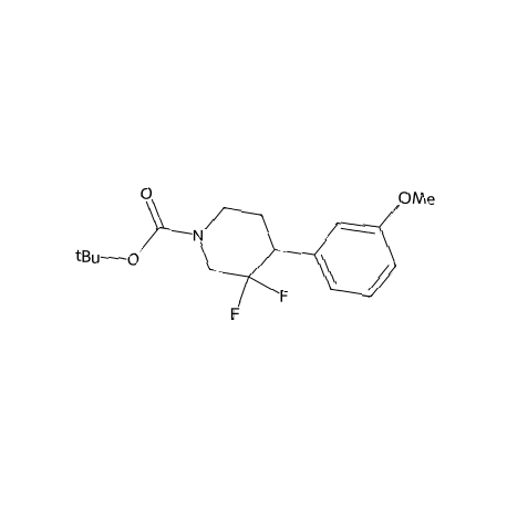 COc1cccc(C2CCN(C(=O)OC(C)(C)C)CC2(F)F)c1